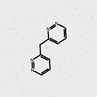 c1cnnc(Cc2cccnn2)c1